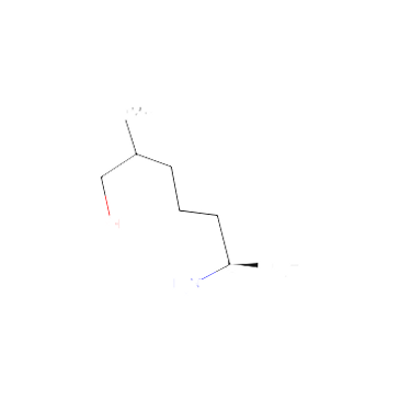 COC(CO)CCC[C@H](N)C(=O)O